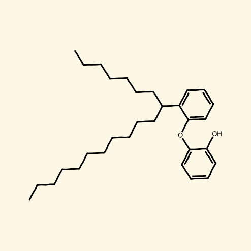 CCCCCCCCCCCC(CCCCCCC)c1ccccc1Oc1ccccc1O